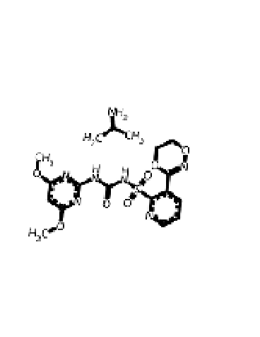 CC(C)N.COc1cc(OC)nc(NC(=O)NS(=O)(=O)c2ncccc2C2=NOCCO2)n1